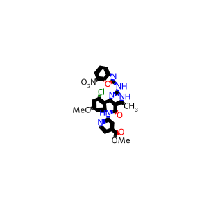 COC(=O)c1ccnc(NC(=O)C2=C(C)NC(Nc3nc4cccc([N+](=O)[O-])c4o3)=NC2c2ccc(OC)cc2Cl)c1